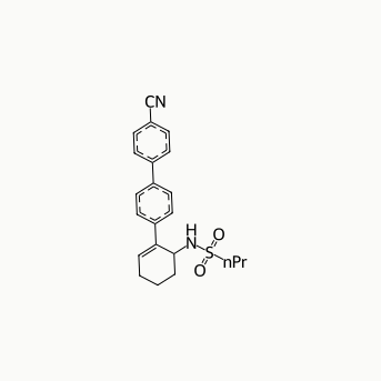 CCCS(=O)(=O)NC1CCCC=C1c1ccc(-c2ccc(C#N)cc2)cc1